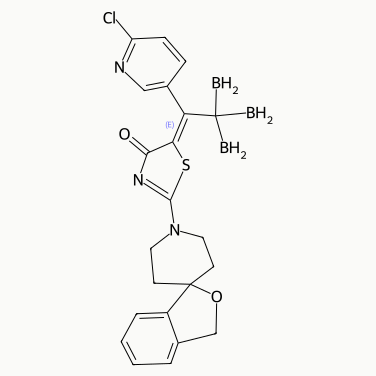 BC(B)(B)/C(=C1\SC(N2CCC3(CC2)OCc2ccccc23)=NC1=O)c1ccc(Cl)nc1